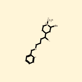 CC(C)(C)C1CC(C(F)CCCOCc2ccccc2)CCN1C(=O)O